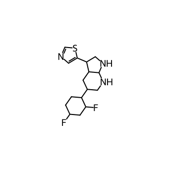 FC1CCC(C2CNC3NCC(c4cncs4)C3C2)C(F)C1